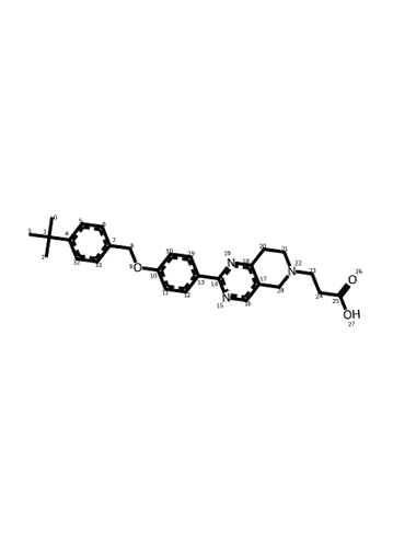 CC(C)(C)c1ccc(COc2ccc(-c3ncc4c(n3)CCN(CCC(=O)O)C4)cc2)cc1